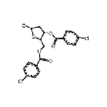 O=C(OC[C@H]1O[C@@H](Cl)C[C@@H]1OC(=O)c1ccc(Cl)cc1)c1ccc(Cl)cc1